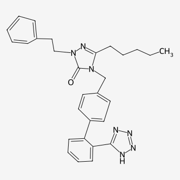 CCCCCc1nn(CCc2ccccc2)c(=O)n1Cc1ccc(-c2ccccc2-c2nnn[nH]2)cc1